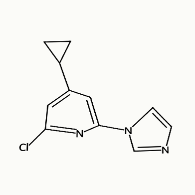 Clc1cc(C2CC2)cc(-n2ccnc2)n1